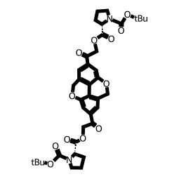 CC(C)(C)OC(=O)N1CCC[C@H]1C(=O)OCC(=O)c1cc2c3c(c1)OCc1cc(C(=O)COC(=O)[C@@H]4CCCN4C(=O)OC(C)(C)C)cc(c1-3)OC2